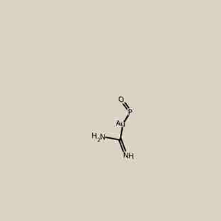 N=[C](N)[Au][P]=O